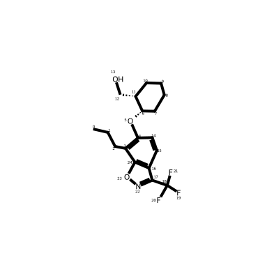 CCCc1c(O[C@H]2CCCC[C@H]2CO)ccc2c(C(F)(F)F)noc12